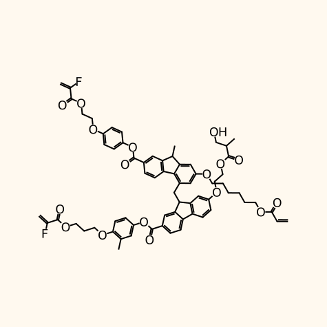 C=CC(=O)OCCCCCCOc1cc(CC2c3cc(OCCOC(=O)C(C)CO)ccc3-c3ccc(C(=O)Oc4ccc(OCCCOC(=O)C(=C)F)c(C)c4)cc32)c2c(c1)C(C)c1cc(C(=O)Oc3ccc(OCCOC(=O)C(=C)F)cc3)ccc1-2